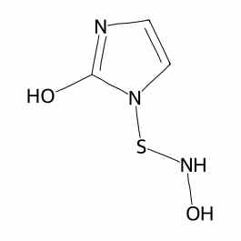 ONSn1ccnc1O